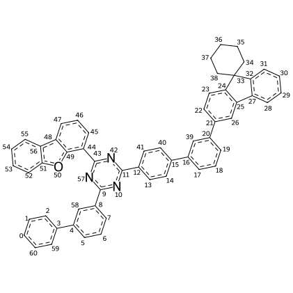 c1ccc(-c2cccc(-c3nc(-c4ccc(-c5cccc(-c6ccc7c(c6)-c6ccccc6C76CCCCC6)c5)cc4)nc(-c4cccc5c4oc4ccccc45)n3)c2)cc1